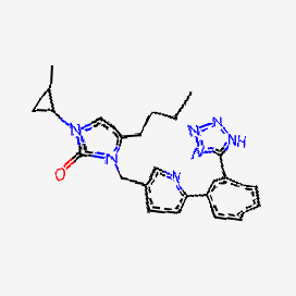 CCCCc1cn(C2CC2C)c(=O)n1Cc1ccc(-c2ccccc2-c2nnn[nH]2)nc1